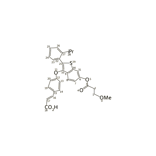 COCCC(=O)Oc1ccc2c(Oc3ccc(C=CC(=O)O)cc3)c(-c3ccccc3C(C)C)sc2c1